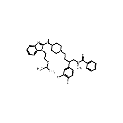 CC(C)OCCn1c(NC2CCN(CCC(CN(C)C(=O)c3ccccc3)c3ccc(Cl)c(Cl)c3)CC2)nc2ccccc21